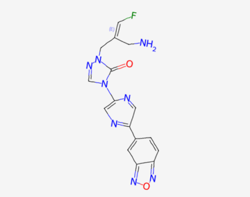 NC/C(=C\F)Cn1ncn(-c2cnc(-c3ccc4nonc4c3)cn2)c1=O